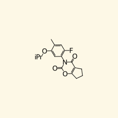 Cc1cc(F)c(-n2c(=O)oc3c(c2=O)CCC3)cc1OC(C)C